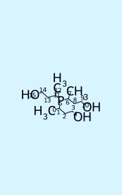 CC(CCO)P(C(C)CCO)C(C)CCO